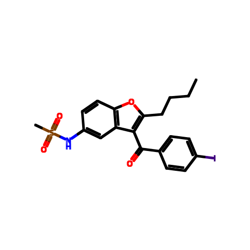 CCCCc1oc2ccc(NS(C)(=O)=O)cc2c1C(=O)c1ccc(I)cc1